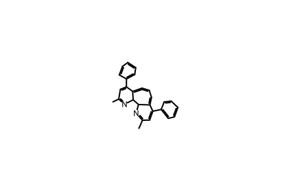 CC1=NC2C(=C=CC=C3C(c4ccccc4)=CC(C)=NC32)C(c2ccccc2)=C1